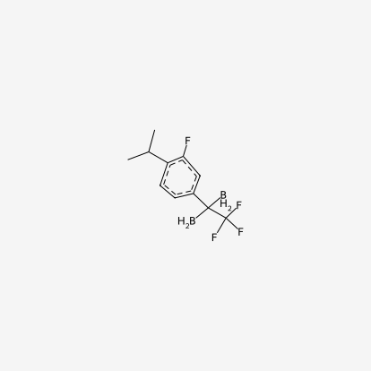 BC(B)(c1ccc(C(C)C)c(F)c1)C(F)(F)F